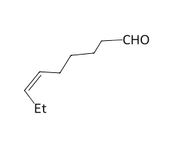 CC/C=C\CCCCC=O